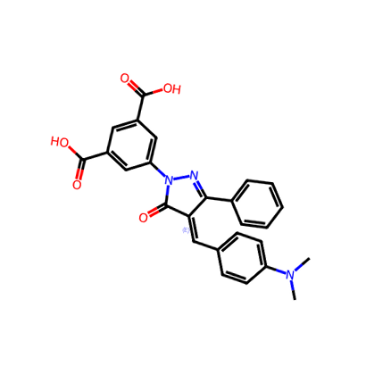 CN(C)c1ccc(/C=C2/C(=O)N(c3cc(C(=O)O)cc(C(=O)O)c3)N=C2c2ccccc2)cc1